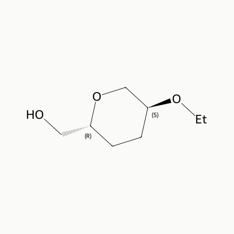 CCO[C@H]1CC[C@H](CO)OC1